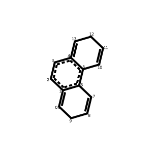 [C]1=c2ccc3c(c2C=C[CH]1)C=CCC=3